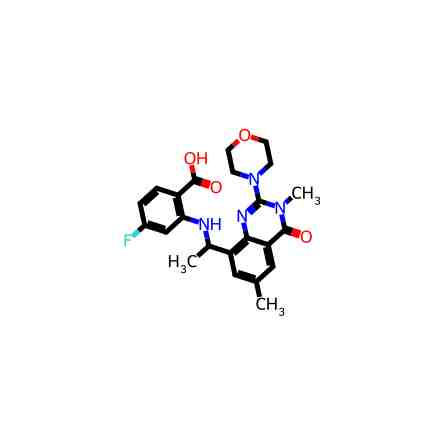 Cc1cc(C(C)Nc2cc(F)ccc2C(=O)O)c2nc(N3CCOCC3)n(C)c(=O)c2c1